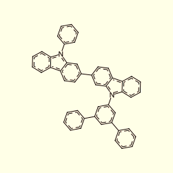 c1ccc(-c2cc(-c3ccccc3)cc(-n3c4ccccc4c4ccc(-c5ccc6c7ccccc7n(-c7ccccc7)c6c5)cc43)c2)cc1